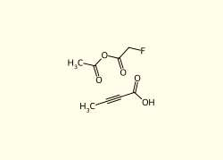 CC#CC(=O)O.CC(=O)OC(=O)CF